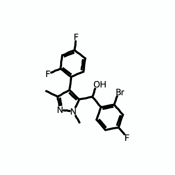 Cc1nn(C)c(C(O)c2ccc(F)cc2Br)c1-c1ccc(F)cc1F